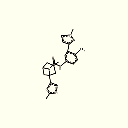 Cc1nnc(C23CC(C)CC(C2)N3C(=O)Nc2ccc(C(F)(F)F)c(-c3ccn(C)n3)c2)o1